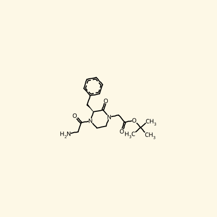 CC(C)(C)OC(=O)CN1CCN(C(=O)CN)[C@@H](Cc2ccccc2)C1=O